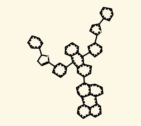 C1=C(c2cccc(-c3c4ccccc4c(-c4cccc(-c5ccc(-c6ccccc6)s5)c4)c4ccc(-c5ccc6c7cccc8cccc(c9cccc5c96)c87)cc34)c2)SC(c2ccccc2)C1